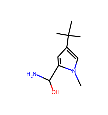 Cn1cc(C(C)(C)C)cc1C(N)O